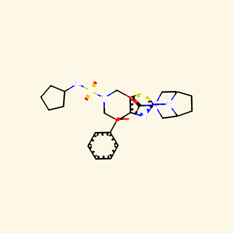 O=C(OCc1ccccc1)N1CC2CCC(C1)N2c1nc2c(s1)CN(S(=O)(=O)NC1CCCC1)CC2